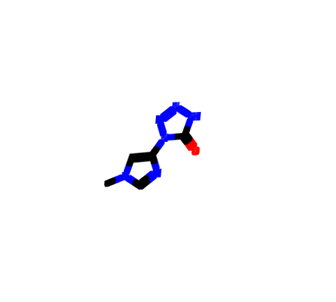 Cn1cnc(-n2nn[nH]c2=O)c1